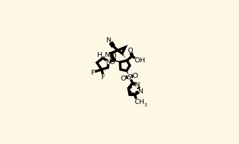 Cc1ccc(S(=O)(=O)[C@@H]2C[C@@H](C(=O)N3CCC(F)(F)C3)[C@](C(=O)O)(C3CC3(C#N)C(N)=O)C2)nn1